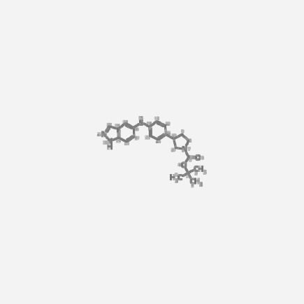 CC(C)(C)OC(=O)N1CCC(c2ccc(Sc3ccc4[nH]ncc4c3)cc2)C1